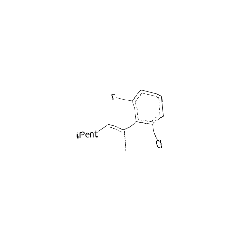 CCCC(C)/C=C(\C)c1c(F)cccc1Cl